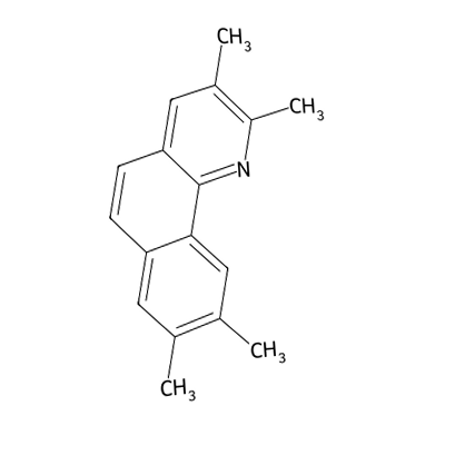 Cc1cc2ccc3cc(C)c(C)nc3c2cc1C